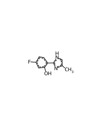 Cc1c[nH]c(-c2ccc(F)cc2O)n1